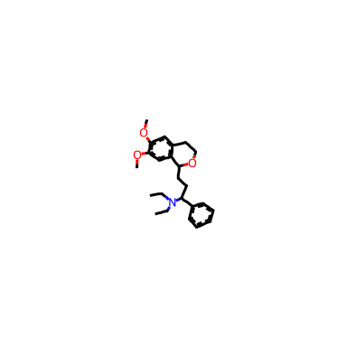 CCN(CC)C(CCC1OCCc2cc(OC)c(OC)cc21)c1ccccc1